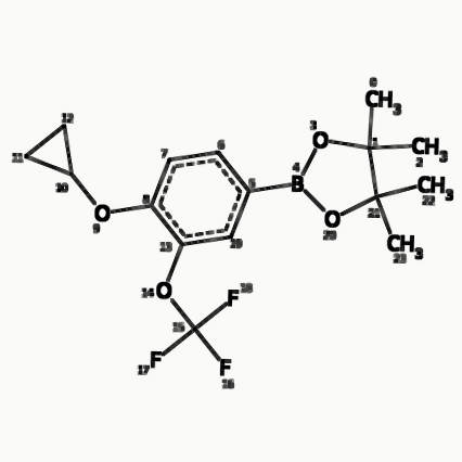 CC1(C)OB(c2ccc(OC3CC3)c(OC(F)(F)F)c2)OC1(C)C